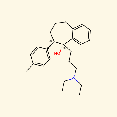 CCN(CC)CCC[C@]1(O)c2ccccc2CCC[C@@H]1c1ccc(C)cc1